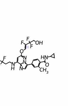 Cc1cc(-c2cnc3c(NCCC(F)(F)F)cc(O/C=C(\F)C(F)(F)CO)nn23)ccc1C(=O)NC1CC1